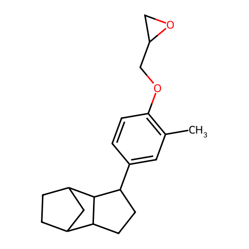 Cc1cc(C2CCC3C4CCC(C4)C23)ccc1OCC1CO1